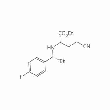 CCOC(=O)[C@H](CCC#N)N[C@H](CC)c1ccc(F)cc1